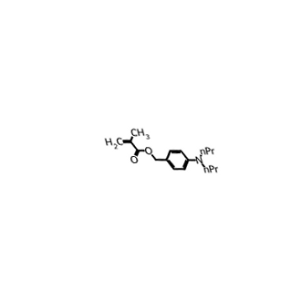 C=C(C)C(=O)OCc1ccc(N(CCC)CCC)cc1